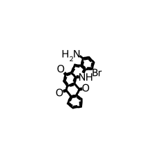 Nc1ccc(Br)c2[nH]c3c4c(cc(=O)c-3cc12)C(=O)c1ccccc1C4=O